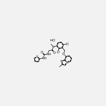 Cc1cn2cccc(OCc3c(Cl)ccc(N(C)C(=O)CNC(=O)Nc4cccs4)c3Cl)c2n1.Cl